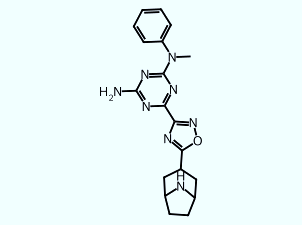 CN(c1ccccc1)c1nc(N)nc(-c2noc(C3CC4CCC(C3)N4)n2)n1